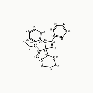 CCOC(=O)C1(C2SCCCS2)C=C(c2ccccc2)C1c1ccccc1